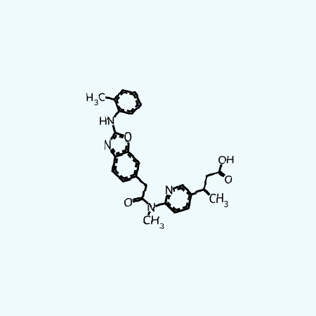 Cc1ccccc1Nc1nc2ccc(CC(=O)N(C)c3ccc(C(C)CC(=O)O)cn3)cc2o1